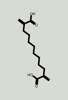 C=C(CCCCCCCCC(=C)C(=O)O)C(=O)O